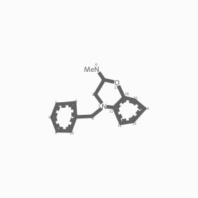 CNC1CN(Cc2ccccc2)c2ccccc2O1